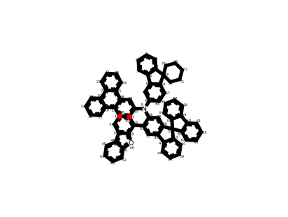 c1ccc2c(c1)-c1cc(N(c3ccc4c5ccccc5c5ccccc5c4c3)c3cc4c(cc3-c3cccc5c3oc3ccccc35)-c3ccccc3C43c4ccccc4-c4ccccc43)ccc1C21CCCCC1